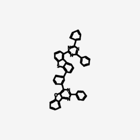 c1ccc(-c2nc(-c3ccccc3)nc(-c3cccc4sc5c(-c6cccc(-c7nc(-c8ccccc8)nc8c7oc7ccccc78)c6)cccc5c34)n2)cc1